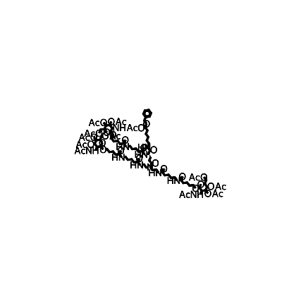 CC(=O)NC1C(OCCCCC(=O)NCCCCC(=O)NCCN(CCNC(=O)CCCCNC(=O)CCCCOC2OC(COC(C)=O)C(OC(C)=O)C(OC(C)=O)C2NC(C)=O)C(=O)CC[C@H](NC(=O)CCCCNC(=O)CCCCOC2OC(COC(C)=O)C(OC(C)=O)C(OC(C)=O)C2NC(C)=O)C(=O)NCCCCCC(=O)OCc2ccccc2)OC(COC(C)=O)C(OC(C)=O)C1OC(C)=O